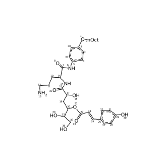 CCCCCCCCOc1ccc(NC(=O)C(CCCN)NC(=O)C(O)CC(OC(=O)/C=C/c2ccc(O)cc2)C(O)CO)cc1